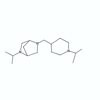 CC(C)N1CCC(CN2CC3CC2CN3C(C)C)CC1